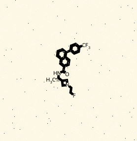 C[C@H](NC(=O)c1ccc2c(-c3ccc(C(F)(F)F)cc3)cccc2c1)C1CN(CCF)C1